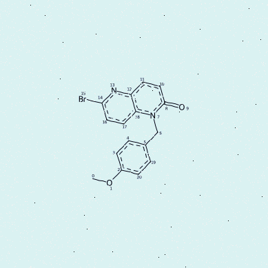 COc1ccc(Cn2c(=O)c[c]c3nc(Br)ccc32)cc1